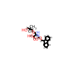 CC(C)(CO)COCC(NC(=O)OCC1c2ccccc2-c2ccccc21)C(=O)O